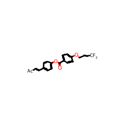 CC(=O)/C=C/c1ccc(OC(=O)c2ccc(OCCCC(F)(F)F)cc2)cc1